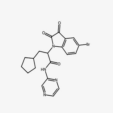 O=C1C(=O)N(C(CC2CCCC2)C(=O)Nc2cnccn2)c2ccc(Br)cc21